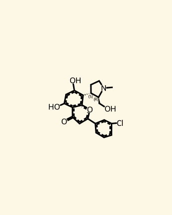 CN1CC[C@@H](c2c(O)cc(O)c3c(=O)cc(-c4cccc(Cl)c4)oc23)[C@@H]1CO